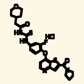 Cl.O=C(CC1CCOCC1)NC(=S)Nc1ccc(Oc2ccnc3cc(C(=O)N4CCCC4)sc23)c(F)c1